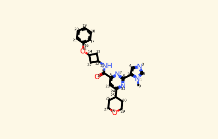 Cn1cncc1-c1nc(C(=O)NC2CC(Oc3ccccc3)C2)cc(C2CCOCC2)n1